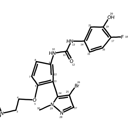 CN(C)CCOc1ccc(NC(=O)Nc2ccc(F)c(O)c2)cc1-c1c(Br)cnn1C